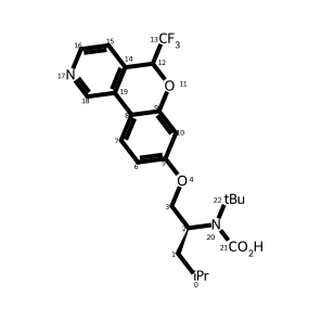 CC(C)C[C@@H](COc1ccc2c(c1)OC(C(F)(F)F)c1ccncc1-2)N(C(=O)O)C(C)(C)C